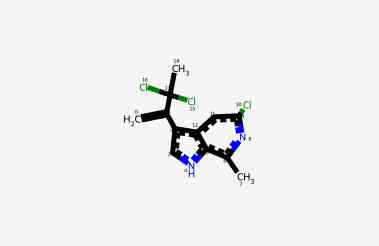 C=C(c1c[nH]c2c(C)nc(Cl)cc12)C(C)(Cl)Cl